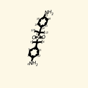 Nc1ccc(C(I)(I)S(=O)(=O)C(I)(I)c2ccc(N)cc2)cc1